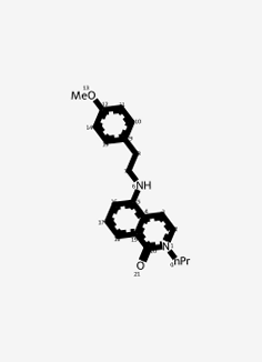 CCCn1ccc2c(NCCc3ccc(OC)cc3)cccc2c1=O